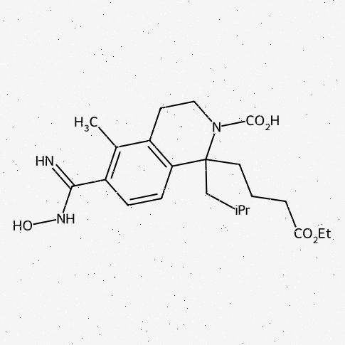 CCOC(=O)CCCC1(CC(C)C)c2ccc(C(=N)NO)c(C)c2CCN1C(=O)O